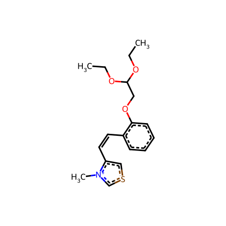 CCOC(COc1ccccc1/C=C\c1csc[n+]1C)OCC